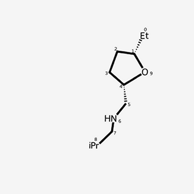 CC[C@H]1CC[C@@H](CNCC(C)C)O1